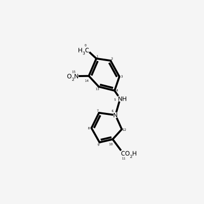 Cc1ccc(NN2C=CC=C(C(=O)O)C2)cc1[N+](=O)[O-]